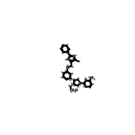 Cc1oc(-c2ccccc2)nc1COc1cccc([C@@H]2CN(c3nccc(C(F)(F)F)n3)C[C@@H]2CC(=O)O)c1